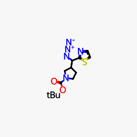 CC(C)(C)OC(=O)N1CCC(C(N=[N+]=[N-])c2nccs2)C1